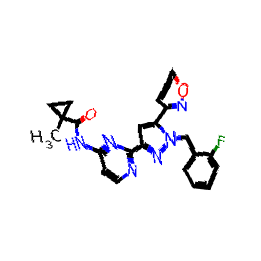 CC1(C(=O)Nc2ccnc(-c3cc(-c4ccon4)n(Cc4ccccc4F)n3)n2)CC1